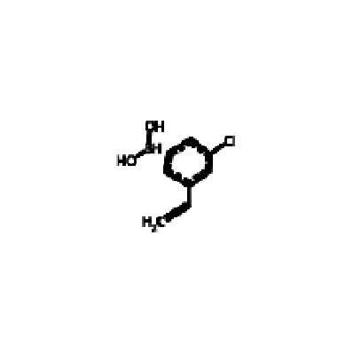 C=Cc1cccc(Cl)c1.OBO